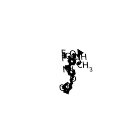 COc1cc(-c2cnc3cc(OCCN4CC5CCC56OC6C4)ccn23)cc(OC(F)F)c1C(=O)NC1CC1